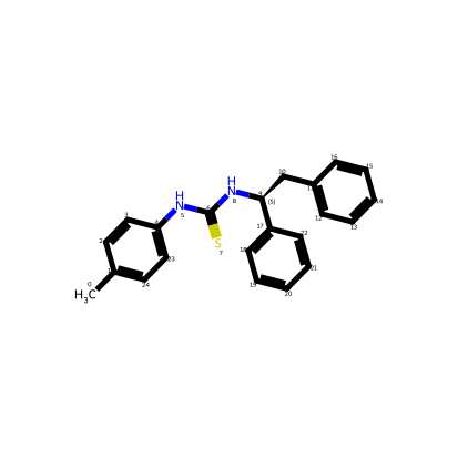 Cc1ccc(NC(=S)N[C@@H](Cc2ccccc2)c2ccccc2)cc1